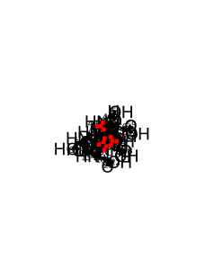 CC(=O)NC(CC(=O)O)C(=O)N[C@H](C)C(=O)NC(CCC(=O)O)C(=O)N[C@H](CC(=O)O)C(=O)N[C@H](CC(N)=O)C(=O)N[C@H](C)C(=O)N[C@H](CC(=O)O)C(=O)N[C@H](CCC(=O)O)C(=O)NC(CCC(=O)O)C(=O)N[C@H](C)C(N)=O